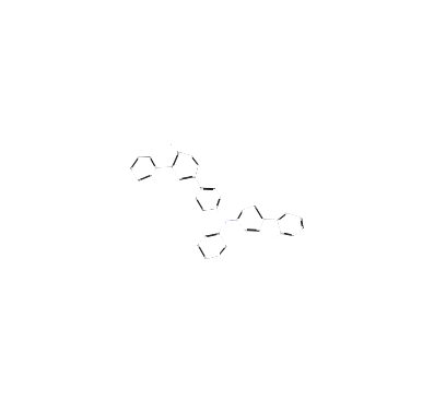 Clc1ccc(-c2ccc(N(c3ccccc3)c3ccc4c(c3)oc3ccccc34)cc2)cc1-c1ccccc1